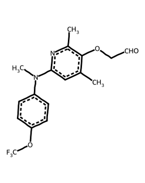 Cc1cc(N(C)c2ccc(OC(F)(F)F)cc2)nc(C)c1OCC=O